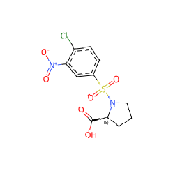 O=C(O)[C@@H]1CCCN1S(=O)(=O)c1ccc(Cl)c([N+](=O)[O-])c1